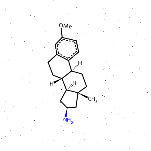 COc1ccc2c(c1)CC[C@@H]1[C@@H]2CC[C@]2(C)C[C@@H](N)C[C@@H]12